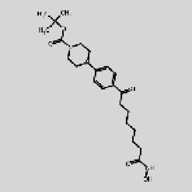 CC(C)(C)OC(=O)N1CCN(c2ccc(C(=O)CCCCCCC(=O)NO)cc2)CC1